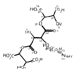 O.O.O=C(OC(C(=O)O)C(O)C(=O)O)C(O)C(O)C(=O)OC(C(=O)O)C(O)C(=O)O.[NaH].[NaH]